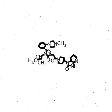 CN1CCN(c2ccccc2[C@H]2SC(CC(=O)N3CCC(n4c(=O)[nH]c5ncccc54)CC3)C(=O)N2CCC(C)(C)C)CC1